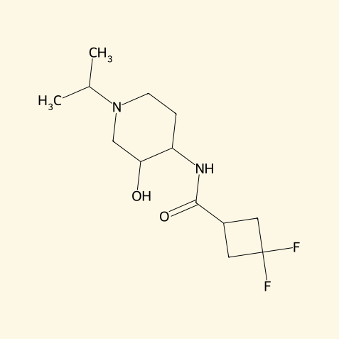 CC(C)N1CCC(NC(=O)C2CC(F)(F)C2)C(O)C1